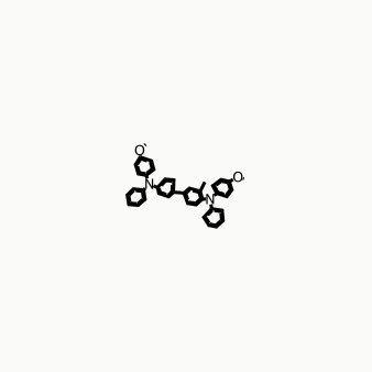 COc1ccc(N(c2ccccc2)c2ccc(-c3ccc(N(c4ccccc4)c4ccc(OC)cc4)c(C)c3)cc2)cc1